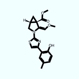 CO/C=C1/N(c2nc(-c3cc(C)ccc3O)cs2)C[C@@H]2C[C@]12C(=O)OC